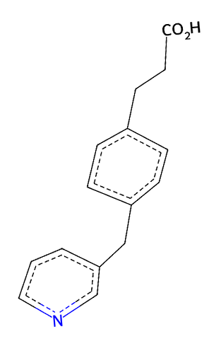 O=C(O)CCc1ccc(Cc2cccnc2)cc1